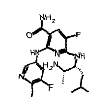 Cc1ncc(Nc2nc(N[C@H](CC(C)C)[C@H](C)N)c(F)cc2C(N)=O)cc1F